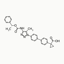 Cc1c(NC(=O)O[C@H](C)c2ccccc2)nnn1-c1ccc(-c2ccc(C3(C(=O)O)CC3)cc2)cc1